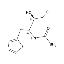 BC(=O)N[C@H](Cc1cccs1)[C@@H](O)CCl